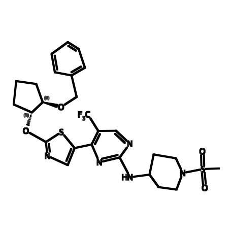 CS(=O)(=O)N1CCC(Nc2ncc(C(F)(F)F)c(-c3cnc(O[C@@H]4CCC[C@H]4OCc4ccccc4)s3)n2)CC1